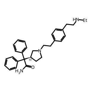 CCNCCc1ccc(CCN2CC[C@@H](C(C(N)=O)(c3ccccc3)c3ccccc3)C2)cc1